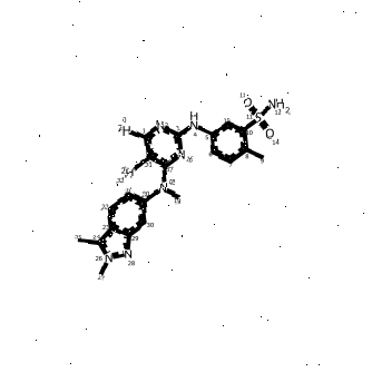 [2H]c1nc(Nc2ccc(C)c(S(N)(=O)=O)c2)nc(N(C)c2ccc3c(C)n(C)nc3c2)c1[2H]